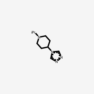 CC(C)N1CCC(n2cnnc2)CC1